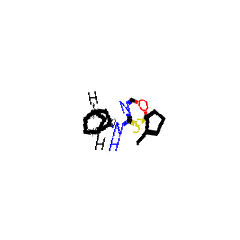 CC1CCCC12OCN=C(N[C@H]1C[C@@H]3CC[C@H]1C3)S2